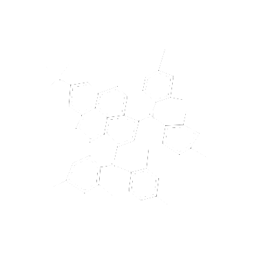 Cc1ccc(N(c2ccc(C)cc2C)c2cc(N(c3ccc(C)cc3C)c3ccc(C)cc3C)c3ccc4cc([Si](C)(C)C)cc5ccc2c3c54)c(C)c1